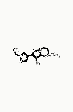 CC(C)c1c(-c2cnn(CC(F)(F)F)c2)nn2c1O[C@@H](C)CC2